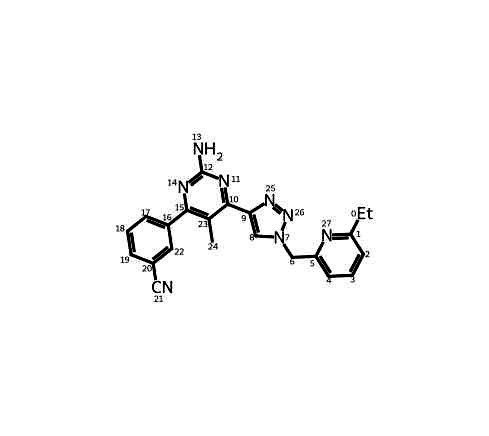 CCc1cccc(Cn2cc(-c3nc(N)nc(-c4cccc(C#N)c4)c3C)nn2)n1